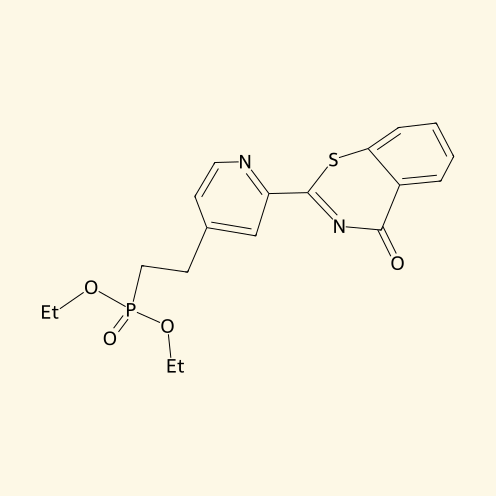 CCOP(=O)(CCc1ccnc(-c2nc(=O)c3ccccc3s2)c1)OCC